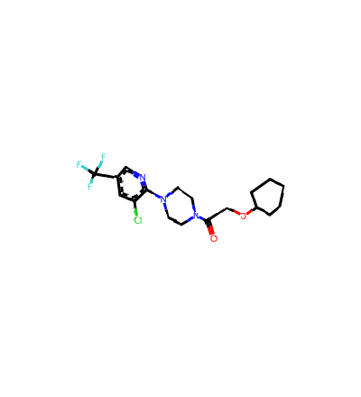 O=C(COC1CCCCC1)N1CCN(c2ncc(C(F)(F)F)cc2Cl)CC1